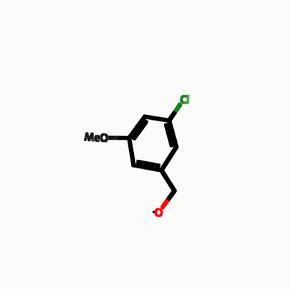 COc1cc(Cl)cc(C[O])c1